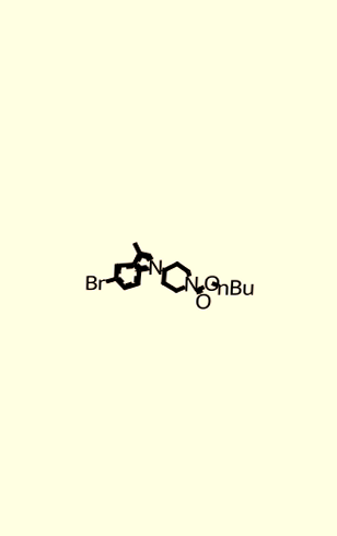 CCCCOC(=O)N1CCC(n2cc(C)c3cc(Br)ccc32)CC1